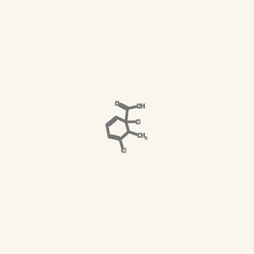 CC1C(Cl)=CC=CC1(Cl)C(=O)O